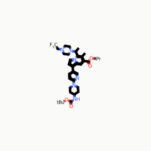 Cc1c(C(=O)OC(C)C)cc2c(-c3ccc(N4CCC(NC(=O)OC(C)(C)C)CC4)nc3)ccn2c1C(C)N1CCN(CC(F)(F)F)CC1